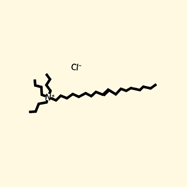 CCCCCCCCC=CCCCCCCCC[N+](CCCC)(CCCC)CCCC.[Cl-]